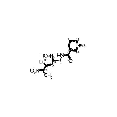 CCC(=CC(CNC(=O)c1ccc[n+]([O-])c1)=NO)C(C)[N+](=O)[O-]